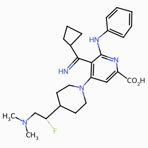 CN(C)C[C@@H](F)C1CCN(c2cc(C(=O)O)nc(Nc3ccccc3)c2C(=N)C2CCC2)CC1